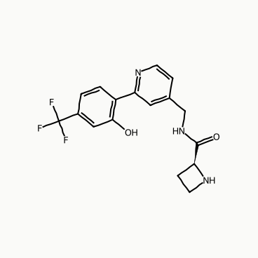 O=C(NCc1ccnc(-c2ccc(C(F)(F)F)cc2O)c1)[C@@H]1CCN1